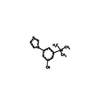 [CH3][Sn]([CH3])([CH3])[c]1cc(C#N)cc(-n2ccnc2)c1